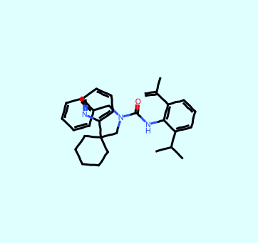 C=C(C)c1cccc(C(C)C)c1NC(=O)N(Cc1ccccc1)CC1(c2ccccn2)CCCCC1